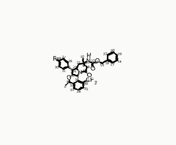 C[C@@H](O[C@H]1CN2C(=O)CC(C)(NC(=O)OCc3ccccc3)CC2[C@@H]1c1ccc(F)cc1)c1cccc(C(F)(F)F)c1